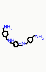 NCC1CCC(CNCc2ccc(CNCC3CCC(CN)CC3)cc2)CC1